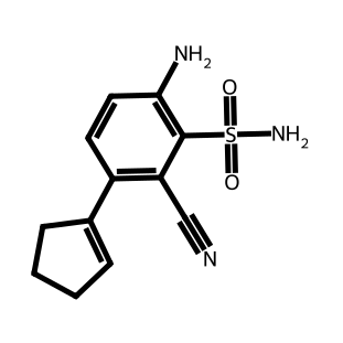 N#Cc1c(C2=CCCC2)ccc(N)c1S(N)(=O)=O